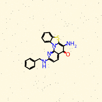 Nc1c(=O)c2ccc(NCc3ccccc3)nc2n2c1sc1ccccc12